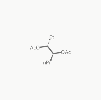 CCC[C@H](OC(C)=O)[C@@H](CC)OC(C)=O